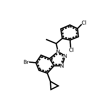 CC(c1ccc(Cl)cc1Cl)n1nnc2c(C3CC3)cc(Br)cc21